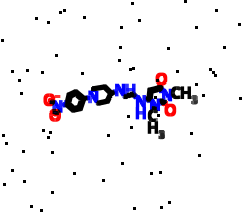 Cn1c(NCCNC2CCN(c3ccc([N+](=O)[O-])cc3)CC2)cc(=O)n(C)c1=O